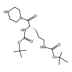 CC(C)(C)OC(=O)NCCC[C@H](NC(=O)OC(C)(C)C)C(=O)N1CCNCC1